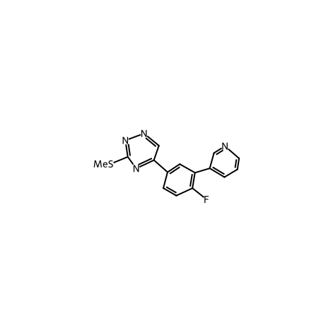 CSc1nncc(-c2ccc(F)c(-c3cccnc3)c2)n1